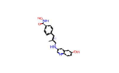 C/C(=C\c1ccc(C(=O)NO)cc1)CNc1cnc2ccc(O)cc2c1